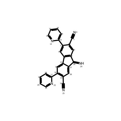 N#Cc1cc2c(cc1-c1ccccn1)-c1cc(-c3ccccn3)c(C#N)cc1C2=N